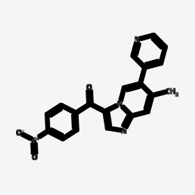 Cc1cc2ncc(C(=O)c3ccc([N+](=O)[O-])cc3)n2cc1-c1cccnc1